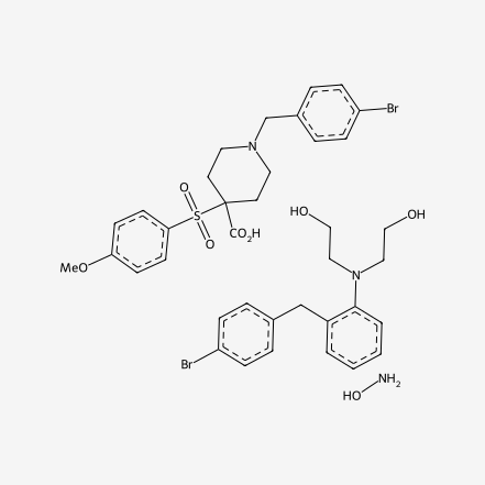 COc1ccc(S(=O)(=O)C2(C(=O)O)CCN(Cc3ccc(Br)cc3)CC2)cc1.NO.OCCN(CCO)c1ccccc1Cc1ccc(Br)cc1